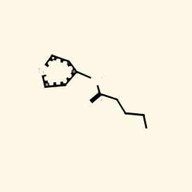 CCCCC(=O)Oc1ccncc1